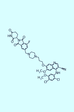 COc1cc(Nc2c(C#N)cnc3cc(OCCCN4CCN(Cc5cc(F)c6c(c5)C(=O)N(C5CCC(=O)NC5=O)C6=O)CC4)c(OC)cc23)c(Cl)cc1Cl